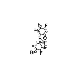 Fc1cc(OC(F)(F)c2ccc(Br)c(F)c2F)cc(F)c1F